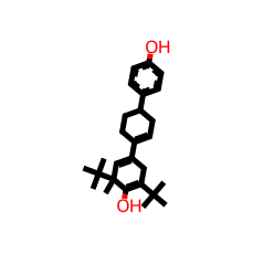 CC(C)(C)C1=C(O)C(C)(C(C)(C)C)C=C(C2=CCC(c3ccc(O)cc3)CC2)C1